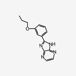 CCCOc1cccc(-c2nc3nccnc3[nH]2)c1